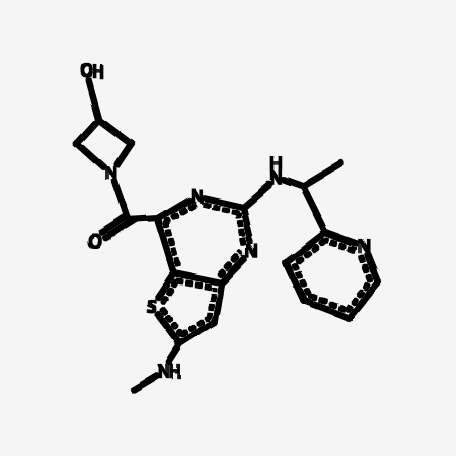 CNc1cc2nc(NC(C)c3ccccn3)nc(C(=O)N3CC(O)C3)c2s1